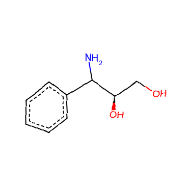 NC(c1ccccc1)[C@H](O)CO